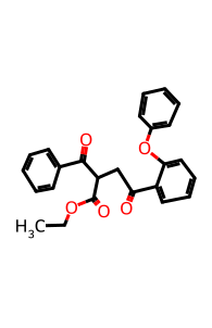 CCOC(=O)C(CC(=O)c1ccccc1Oc1ccccc1)C(=O)c1ccccc1